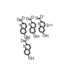 O=C([O-])c1ccc2cc(O)ccc2n1.O=C([O-])c1ccc2cc(O)ccc2n1.O=C([O-])c1ccc2cc(O)ccc2n1.O=C([O-])c1ccc2cc(O)ccc2n1.[Zr+4]